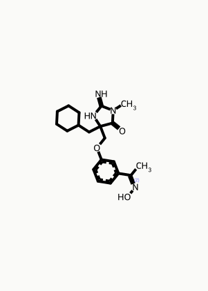 C/C(=N/O)c1cccc(OCC2(CC3CCCCC3)NC(=N)N(C)C2=O)c1